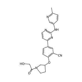 Cc1ccc(Nc2nccc(-c3ccc(OC4CCN(C(=O)CO)C4)c(C#N)c3)n2)cn1